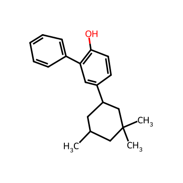 CC1CC(c2ccc(O)c(-c3ccccc3)c2)CC(C)(C)C1